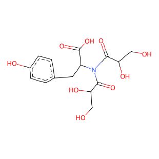 O=C(O)C(Cc1ccc(O)cc1)N(C(=O)C(O)CO)C(=O)C(O)CO